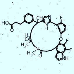 CN1CC(C)(C)CCCC(C)(c2cccc(CCC(=O)O)c2)c2cnc([nH]2)-c2cc(ccc2F)Oc2c(F)c(F)c3[nH]ccc3c2CCC1=O